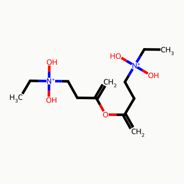 C=C(CC[N+](O)(O)CC)OC(=C)CC[N+](O)(O)CC